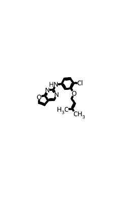 CC(C)=CCOc1cc(Nc2ncc3ccoc3n2)ccc1Cl